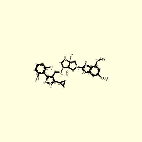 CC(C)Oc1cc(C(=O)O)cc2sc(N3C[C@H]4[C@@H](OCc5c(-c6c(Cl)cccc6Cl)noc5C5CC5)CO[C@H]4C3)nc12